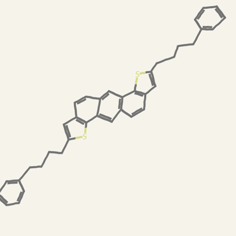 c1ccc(CCCCc2cc3ccc4cc5c(ccc6cc(CCCCc7ccccc7)sc65)cc4c3s2)cc1